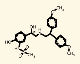 COc1ccc(C(CNC[C@H](O)c2ccc(O)c(NS(C)(=O)=O)c2)c2ccc(OC)cc2)cc1